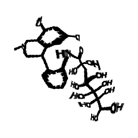 CN1Cc2c(Cl)cc(Cl)cc2C(c2ccccc2NC(=O)C(O)(O)C(O)(O)C(O)(O)C(O)(O)C(O)O)C1